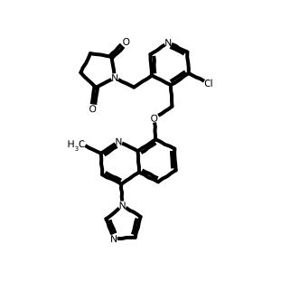 Cc1cc(-n2ccnc2)c2cccc(OCc3c(Cl)cncc3CN3C(=O)CCC3=O)c2n1